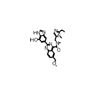 CCc1ncc(CN(C)C(=O)c2nc(-c3cc(O)c4[nH]cnc4c3)nc3ccc(COC)cc23)n1C